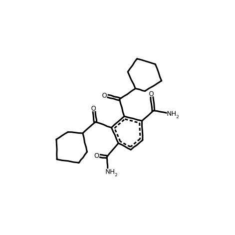 NC(=O)c1ccc(C(N)=O)c(C(=O)C2CCCCC2)c1C(=O)C1CCCCC1